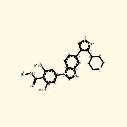 CCNC(=O)c1c(OC)cc(-n2cnc3cc(-c4c[nH]nc4C4CCOCC4)ccc32)cc1OC